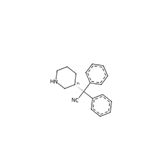 N#CC(c1ccccc1)(c1ccccc1)[C@H]1CCCNC1